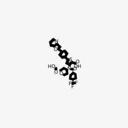 O=C(O)c1sc(-c2ccc(-c3cc4ncccc4o3)cc2)cc1N(C(=O)[C@H]1CC[C@H](C(F)(F)F)CC1)C1CCOCC1.O=CO